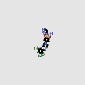 O=S(=O)(Nc1ccncn1)c1ccc(N2CCN(Cc3cc(Cl)cc(Cl)c3Cl)CC2)cc1